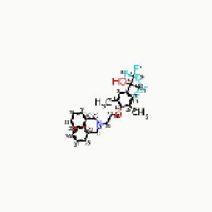 Cc1cc(C(O)(C(F)(F)F)C(F)(F)F)cc(C)c1OCCN(Cc1ccccc1)Cc1ccccc1